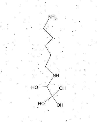 NCCCCCNC(O)C(O)(O)O